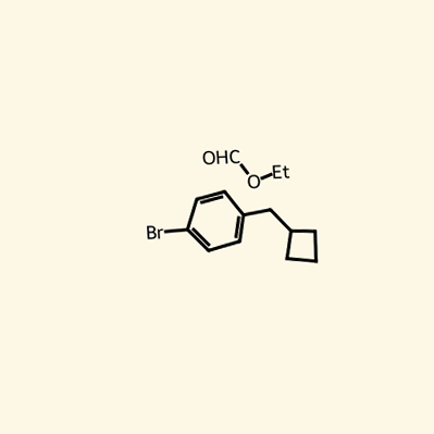 Brc1ccc(CC2CCC2)cc1.CCOC=O